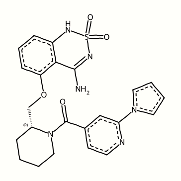 NC1=NS(=O)(=O)Nc2cccc(OC[C@H]3CCCCN3C(=O)c3ccnc(-n4cccc4)c3)c21